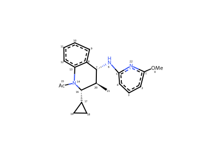 COc1cccc(N[C@H]2c3ccccc3N(C(C)=O)[C@@H](C3CC3)[C@@H]2C)n1